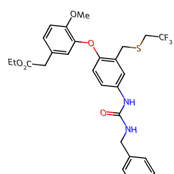 CCOC(=O)Cc1ccc(OC)c(Oc2ccc(NC(=O)NCc3ccccc3)cc2CSCC(F)(F)F)c1